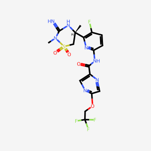 CN1C(=N)N[C@](C)(c2nc(NC(=O)c3cnc(OCC(F)(F)F)cn3)ccc2F)CS1(=O)=O